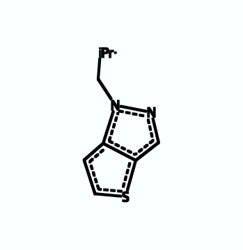 C[C](C)Cn1ncc2sccc21